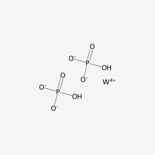 O=P([O-])([O-])O.O=P([O-])([O-])O.[W+4]